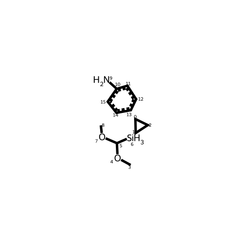 C1CC1.COC([SiH3])OC.Nc1ccccc1